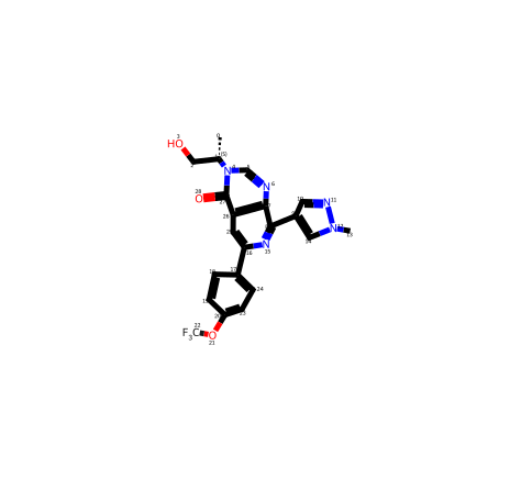 C[C@@H](CO)n1cnc2c(-c3cnn(C)c3)nc(-c3ccc(OC(F)(F)F)cc3)cc2c1=O